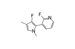 Cc1cn(C)c(-c2cccnc2F)c1F